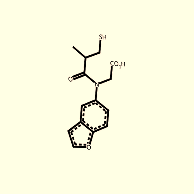 CC(CS)C(=O)N(CC(=O)O)c1ccc2occc2c1